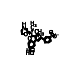 CCN(C(=O)c1c(-c2ccccc2)cc(-c2cccc([N+](=O)[O-])c2)nc1C)C1CNCCO1.Cl.Cl